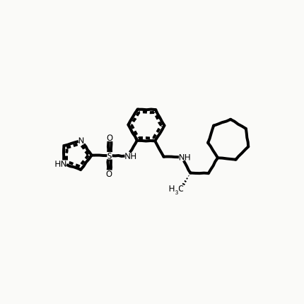 C[C@@H](CC1CCCCCC1)NCc1ccccc1NS(=O)(=O)c1c[nH]cn1